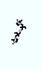 CCC(C)(COCC(C)(CC)Cn1cc[n+](C)c1C)Cn1cc[n+](C)c1C